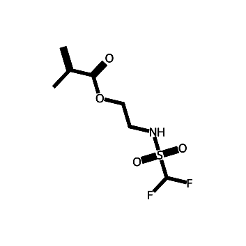 C=C(C)C(=O)OCCNS(=O)(=O)C(F)F